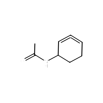 O=C(I)NC1C=C=CCC1